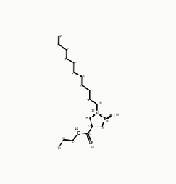 CCCCCCCCCCCN1CC(C(=O)OCCC)CC1=O